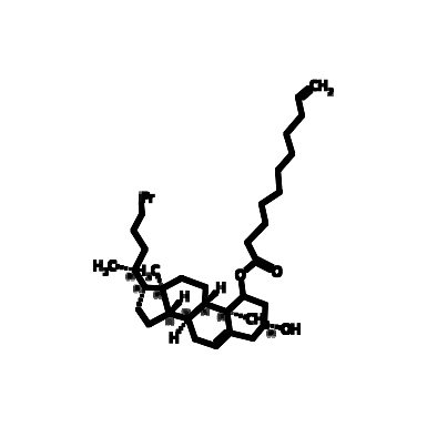 C=CCCCCCCCCC(=O)OC1C[C@H](O)CC2=CC[C@H]3[C@@H]4CC[C@H]([C@H](C)CCCC(C)C)[C@@]4(C)CC[C@@H]3[C@]21C